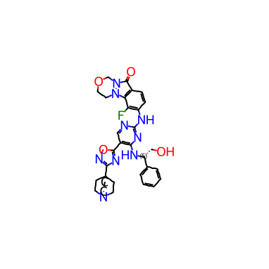 O=c1c2ccc(Nc3ncc(-c4nc(C56CCN(CC5)CC6)no4)c(N[C@H](CO)c4ccccc4)n3)c(F)c2n2n1COCC2